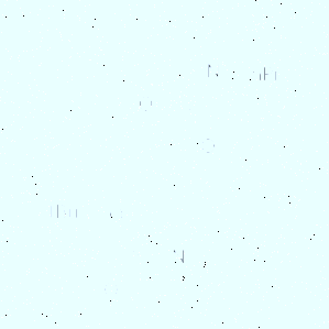 CCCN(C)C(=O)OCCN(C)C(=O)OC(C)(C)C